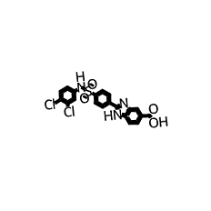 O=C(O)c1ccc2[nH]c(-c3ccc(S(=O)(=O)Nc4ccc(Cl)c(Cl)c4)cc3)nc2c1